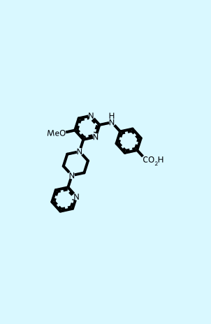 COc1cnc(Nc2ccc(C(=O)O)cc2)nc1N1CCN(c2ccccn2)CC1